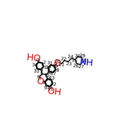 Oc1ccc(C2COc3cc(O)ccc3C2c2ccc(OCCCCC3CCNCC3)cc2)cc1